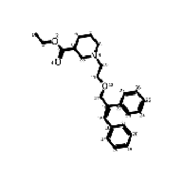 CCOC(=O)C1CCCN(CCOCC(=Cc2ccccc2)c2ccccc2)C1